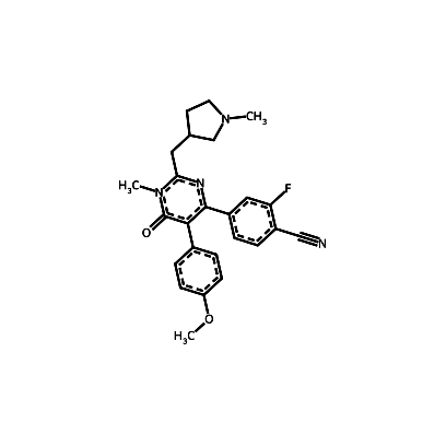 COc1ccc(-c2c(-c3ccc(C#N)c(F)c3)nc(CC3CCN(C)C3)n(C)c2=O)cc1